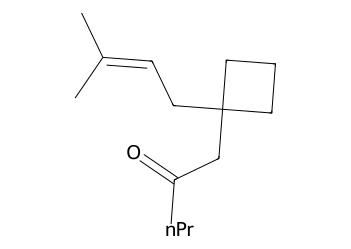 CCCC(=O)CC1(CC=C(C)C)CCC1